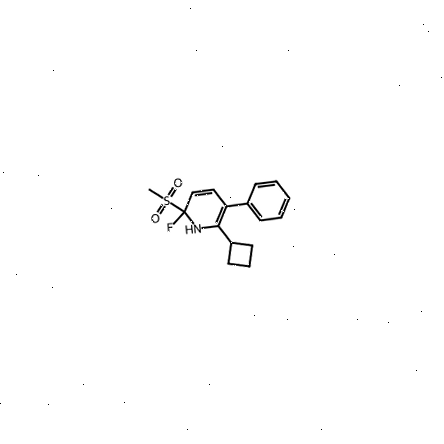 CS(=O)(=O)C1(F)C=CC(c2ccccc2)=C(C2CCC2)N1